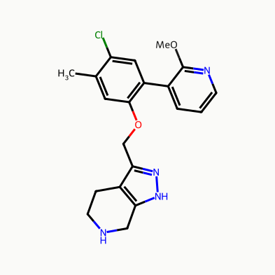 COc1ncccc1-c1cc(Cl)c(C)cc1OCc1n[nH]c2c1CCNC2